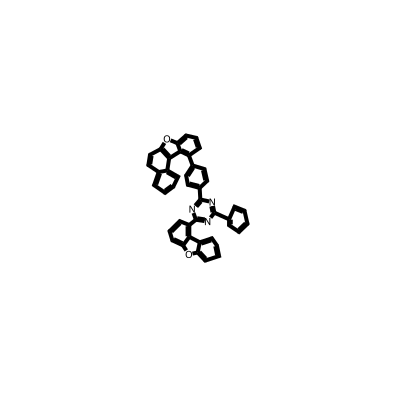 c1ccc(-c2nc(-c3ccc(-c4cccc5oc6ccc7ccccc7c6c45)cc3)nc(-c3cccc4oc5ccccc5c34)n2)cc1